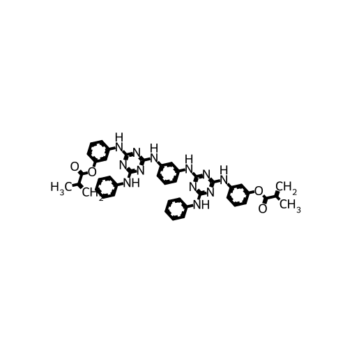 C=C(C)C(=O)Oc1cccc(Nc2nc(Nc3ccccc3)nc(Nc3cccc(Nc4nc(Nc5ccccc5)nc(Nc5cccc(OC(=O)C(=C)C)c5)n4)c3)n2)c1